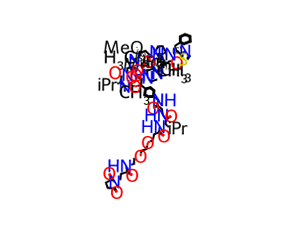 CC[C@H](C)[C@@H]([C@@H](CC(=O)N1CCC[C@H]1[C@H](OC)[C@@H](C)C(=O)N[C@@H](Cc1ccccc1)c1nccs1)OC)N(C)C(=O)CNC(=O)C(C(C)C)N(C)C(=O)OC(C(=O)N1CCN(C)CC1)c1ccc(NC(=O)CNC(=O)C(NC(=O)CCOCCOCCNC(=O)CCN2C(=O)CCC2=O)C(C)C)cc1